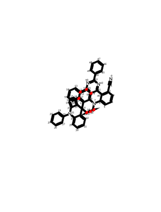 N#Cc1cccc(N2c3ccccc3C3(c4ccccc4N(c4ccccc4)c4ccccc43)c3ccccc32)c1-c1nc(-c2ccccc2)nc(-c2ccccc2)n1